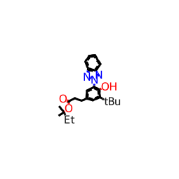 CCC(C)(C)OC(=O)CCc1cc(-n2nc3ccccc3n2)c(O)c(C(C)(C)C)c1